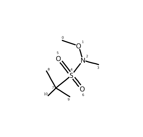 CON(C)S(=O)(=O)C(C)(C)C